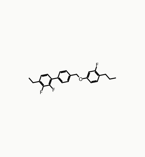 CCCc1ccc(OCc2ccc(-c3ccc(CC)c(F)c3F)cc2)cc1F